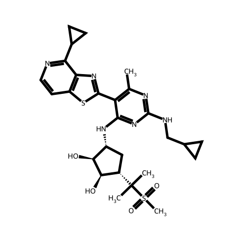 Cc1nc(NCC2CC2)nc(N[C@@H]2C[C@H](C(C)(C)S(C)(=O)=O)[C@@H](O)[C@H]2O)c1-c1nc2c(C3CC3)nccc2s1